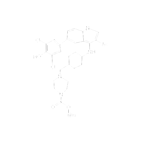 CC(=O)c1cnc2ccc(-c3cc(Cl)c(O)c(Cl)c3)cc2c1NC1CCC(CN2CCN(C(=O)OC(C)(C)C)CC2)CC1